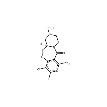 Nc1nc(Cl)c(Cl)c2c1C(=O)N1CCN(C(=O)O)C[C@@H]1CO2